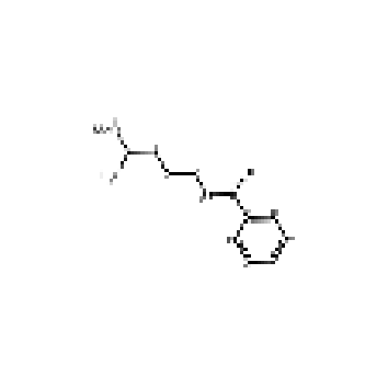 COC(C)CCCOB(O)c1ccccc1